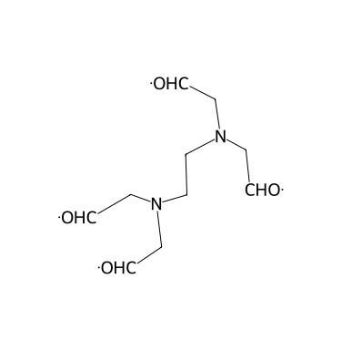 O=[C]CN(C[C]=O)CCN(C[C]=O)C[C]=O